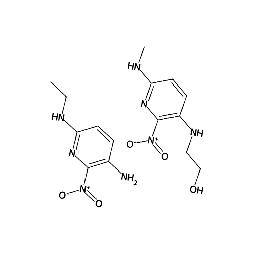 CCNc1ccc(N)c([N+](=O)[O-])n1.CNc1ccc(NCCO)c([N+](=O)[O-])n1